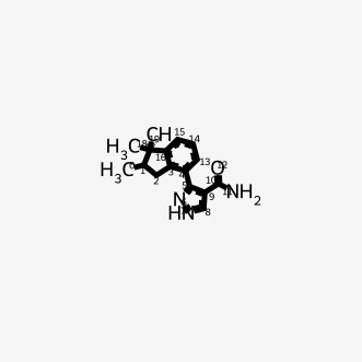 CC1Cc2c(-c3n[nH]cc3C(N)=O)cccc2C1(C)C